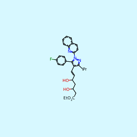 CCOC(=O)CC(O)CC(O)/C=C/c1c(C(C)C)nn(-c2ccc3ccccc3n2)c1-c1ccc(F)cc1